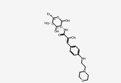 CC[C@H]1OC(O)[C@H](NC(=O)/C(C#N)=C/c2ccc(NCCN3CCOCC3)cc2)[C@@H](O)[C@@H]1O